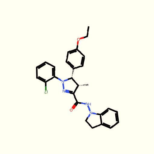 CCOc1ccc([C@@H]2[C@H](C)C(C(=O)NN3CCc4ccccc43)=NN2c2ccccc2Cl)cc1